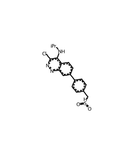 CC(C)Nc1c(Cl)nnc2cc(-c3ccc(C[SH](=O)=O)cc3)ccc12